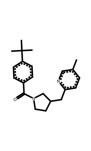 Cc1ccc(CC2CCN(C(=O)c3ccc(C(C)(C)C)cc3)C2)nc1